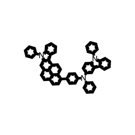 c1ccc(N(c2ccc(-c3ccc4ccc5cc6c(c7ccc3c4c57)c3ccccc3n6-c3ccccc3)cc2)c2ccc3c(c2)c2ccccc2n3-c2ccccc2)cc1